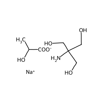 CC(O)C(=O)[O-].NC(CO)(CO)CO.[Na+]